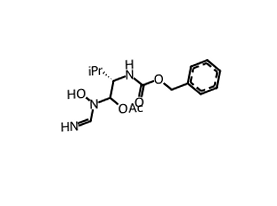 CC(=O)OC([C@@H](NC(=O)OCc1ccccc1)C(C)C)N(O)C=N